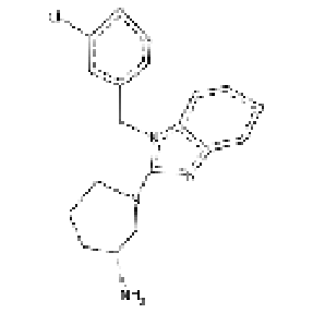 N[C@@H]1CCCN(c2nc3ccccc3n2Cc2cccc(Cl)c2)C1